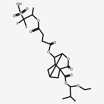 CCOC(OC(=O)C12CC3CC1C(OC(=O)CCC(=O)OC(C)C(F)(F)S(=O)(=O)O)C3OC2=O)C(C)C